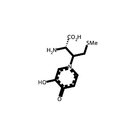 CSCC([C@H](N)C(=O)O)n1ccc(=O)c(O)c1